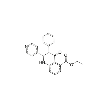 CCOC(=O)c1cccc2c1C(=O)C(c1ccccc1)C(c1ccncc1)N2